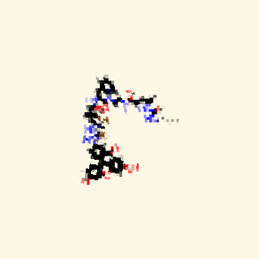 CCCC(C)NC(=O)NC(C)CCC(=O)NCCNC(=O)C(Cc1ccccc1)NC(=O)CC(C)(C)CC(C)(S)NC(=S)Nc1ccc(-c2c3ccc(=O)cc-3oc3cc(O)ccc23)c(CO)c1